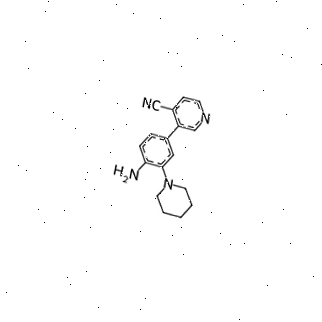 N#Cc1ccncc1-c1ccc(N)c(N2CCCCC2)c1